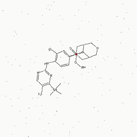 CCc1cc(N2CC3COCC(C2)N3C(=O)OC(C)(C)C)ccc1Nc1ncc(C(F)(F)F)[c]([Sn]([CH3])([CH3])[CH3])n1